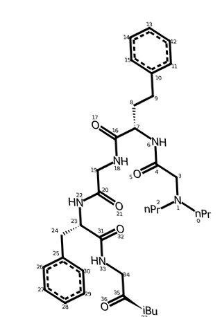 CCCN(CCC)CC(=O)N[C@@H](CCc1ccccc1)C(=O)NCC(=O)N[C@@H](Cc1ccccc1)C(=O)NCC(=O)[C@H](C)CC